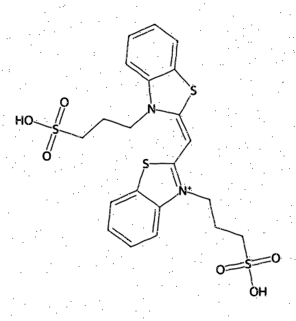 O=S(=O)(O)CCCN1C(=Cc2sc3ccccc3[n+]2CCCS(=O)(=O)O)Sc2ccccc21